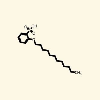 CCCCCCCCCCCCOc1ccccc1S(=O)(=O)O